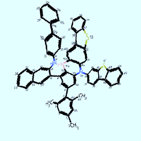 Cc1cc(C)c(-c2cc(-c3cc4ccccc4cc3Nc3ccc(-c4ccccc4)cc3)c3c(c2)N(c2ccc4c(c2)sc2ccccc24)c2cc4sc5ccccc5c4cc2B3)c(C)c1